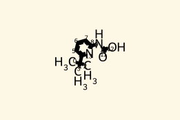 CC(C)(C)c1cccc(NC(=O)O)n1